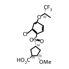 CO[C@H]1C[C@@H](S(=O)(=O)c2ccc(O[C@@H](C)C(F)(F)F)cc2Cl)C[C@@H]1C(=O)O